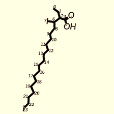 CCC(C(=O)O)C(I)CCCCCCCCCCCCCCCI